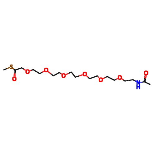 CSC(=O)COCCOCCOCCOCCOCCOCCNC(C)=O